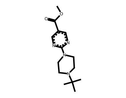 COC(=O)c1cnc(N2CCN(C(C)(C)C)CC2)nc1